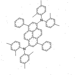 Cc1ccc(N(c2ccc(C)cc2C)c2cc(-c3ccccc3)c3ccc4c(N(c5ccc(C)cc5C)c5ccc(C)cc5C)cc(-c5ccccc5)c5ccc2c3c54)c(C)c1